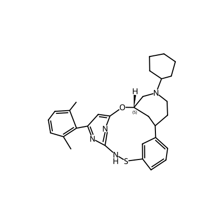 Cc1cccc(C)c1-c1cc2nc(n1)NSc1cccc(c1)C1CCN(C3CCCCC3)C[C@H](C1)O2